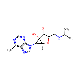 Cc1ncnc2c1ncn2C1[C@@H]2OC(CNC(C)C)[C@@H](O)[C@]12O